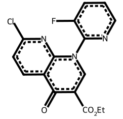 CCOC(=O)c1cn(-c2ncccc2F)c2nc(Cl)ccc2c1=O